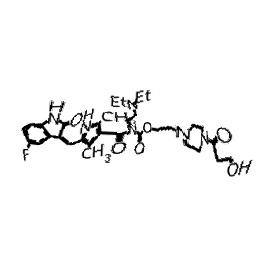 CCN(CC)CCN(C(=O)OCCN1CCN(C(=O)CCO)CC1)C(=O)c1c(C)[nH]c(/C=C2\C(=O)Nc3ccc(F)cc32)c1C